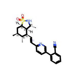 C[C@H]1[C@H](/C=C/c2ccc(-c3ccccc3C#N)cn2)[C@H]2[C@@H](C[C@@H]1C)S(=O)(=O)N[C@@H]2C